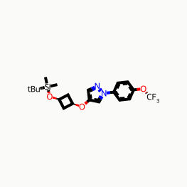 CC(C)(C)[Si](C)(C)O[C@H]1C[C@@H](Oc2cnn(-c3ccc(OC(F)(F)F)cc3)c2)C1